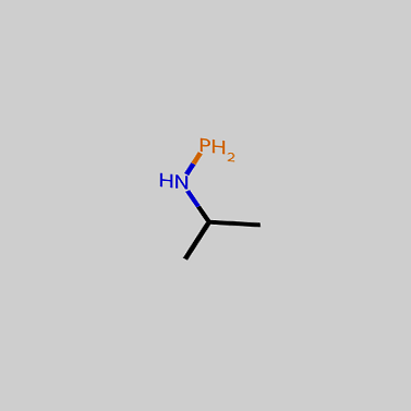 CC(C)NP